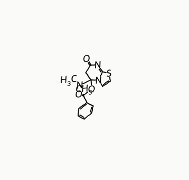 CN(C)C1(OC(=O)c2ccccc2)CC(=O)N=C2SC=CN21